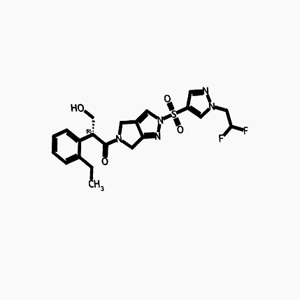 CCc1ccccc1[C@H](CO)C(=O)N1Cc2cn(S(=O)(=O)c3cnn(CC(F)F)c3)nc2C1